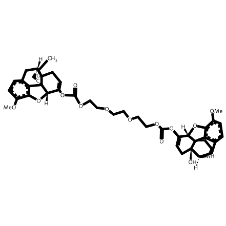 COc1ccc2c3c1O[C@H]1C(OC(=O)OCCOCCOCCOC(=O)OC4=CC[C@@]5(O)[C@H]6Cc7ccc(OC)c8c7[C@@]5(CCN6C)[C@H]4O8)=CC[C@@]4(O)[C@@H](C2)NCC[C@]314